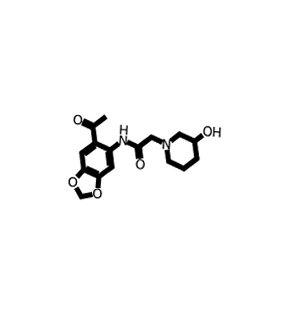 CC(=O)c1cc2c(cc1NC(=O)CN1CCCC(O)C1)OCO2